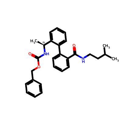 CC(C)CCNC(=O)c1ccccc1-c1ccccc1[C@H](C)NC(=O)OCc1ccccc1